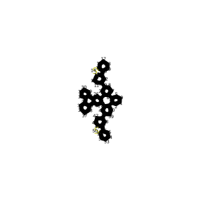 c1ccc2c(c1)-c1ccc(-c3ccc4sc5ccccc5c4c3)cc1-c1cc3c4ccccc4c4ccccc4c3cc1-c1cc(-c3ccc4sc5ccccc5c4c3)ccc1-2